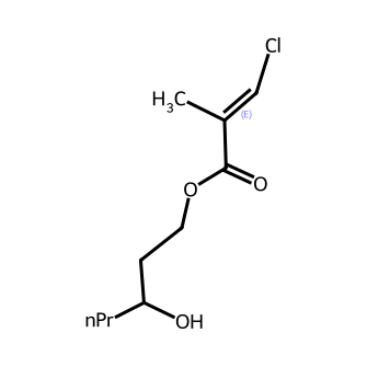 CCCC(O)CCOC(=O)/C(C)=C/Cl